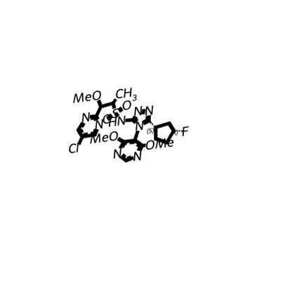 COc1ncnc(OC)c1-n1c(NS(=O)(=O)C(C)C(OC)c2ncc(Cl)cn2)nnc1[C@H]1CC[C@@H](F)C1